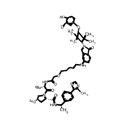 CC(=O)O[C@@H]1C[C@@H](C(=O)N[C@@H](C)c2ccc(-c3scnc3C)cc2)N(C(=O)[C@@H](NC(=O)COCCCCCNc2ccc3c(c2)CN([C@H]2C(C)(C)[C@H](Oc4ccc(C#N)c(Cl)c4)C2(C)C)C3=O)C(C)(C)C)C1